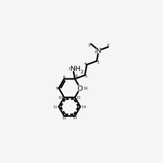 CN(C)CCCC1(N)C=Cc2ccccc2O1